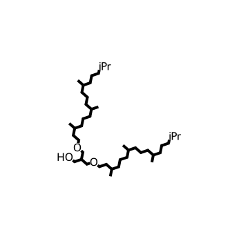 CC(C)CCCC(C)CCCC(C)CCCC(C)CCOCC(CO)COCCC(C)CCCC(C)CCCC(C)CCCC(C)C